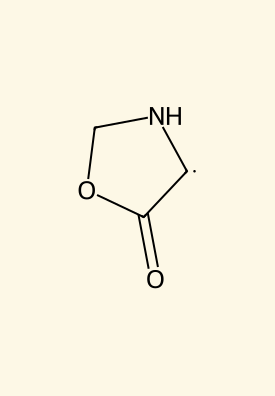 O=C1[CH]NCO1